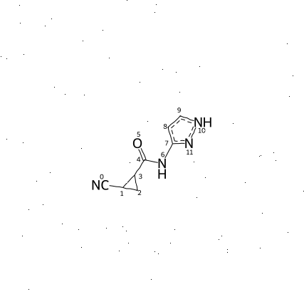 N#CC1CC1C(=O)Nc1cc[nH]n1